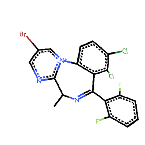 CC1N=C(c2c(F)cccc2F)c2c(ccc(Cl)c2Cl)-[n+]2cc(Br)cnc21